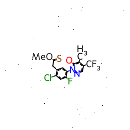 COC(=S)Cc1cc(-n2ncc(C(F)(F)F)c(C)c2=O)c(F)cc1Cl